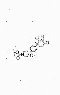 CC(C)(C)OC(=O)N1CCC(O)(c2ccc([C@@]3(C)CCC(=O)NC3=O)cc2)CC1